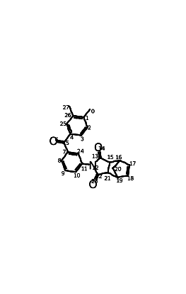 Cc1ccc(C(=O)c2cccc(N3C(=O)C4C5C=CC(C5)C4C3=O)c2)cc1C